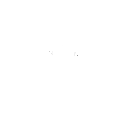 CCC1C[N+](C)=CN1CC